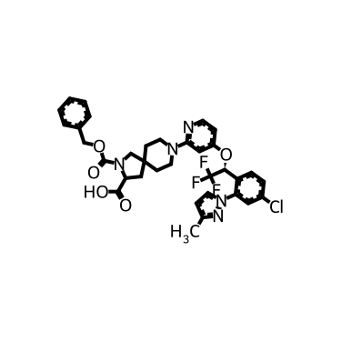 Cc1ccn(-c2cc(Cl)ccc2[C@@H](Oc2ccnc(N3CCC4(CC3)CC(C(=O)O)N(C(=O)OCc3ccccc3)C4)c2)C(F)(F)F)n1